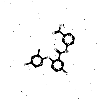 Cc1cc(F)ccc1Oc1ccc(Cl)cc1C(=O)Nc1cccc(C(N)=O)c1